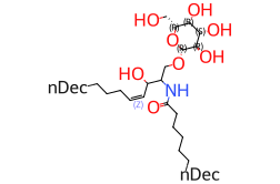 CCCCCCCCCCCCC/C=C\C(O)C(CO[C@@H]1O[C@H](CO)[C@H](O)[C@H](O)[C@H]1O)NC(=O)CCCCCCCCCCCCCCC